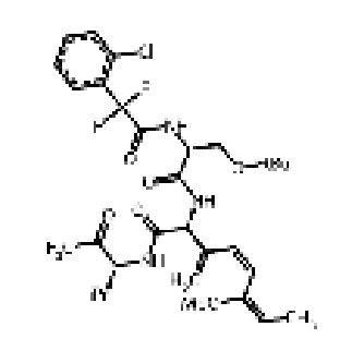 C=C(/C=C\C(=C/C)OC)[C@H](NC(=O)[C@H](COC(C)(C)C)NC(=O)C(F)(F)c1ccccc1Cl)C(=O)N[C@H](C(=O)C(F)(F)F)C(C)C